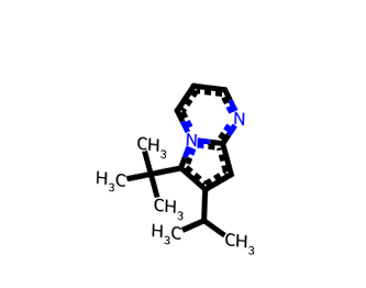 CC(C)c1cc2ncccn2c1C(C)(C)C